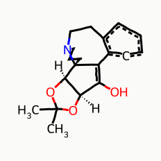 CC1(C)O[C@@H]2C(O)=C3c4ccccc4CCN4CCC[C@]34[C@@H]2O1